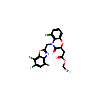 CCOC(=O)CC1Oc2cccc(F)c2N(Cc2nc3c(F)cc(F)c(F)c3s2)C1=O